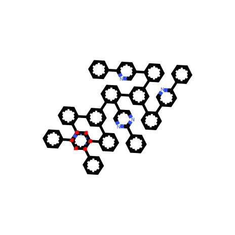 c1ccc(-c2ccc(-c3ccccc3-c3cc(-c4ccccc4-c4ccc(-c5ccccc5)nc4)cc(-c4cccc(-c5cc(-c6ccccc6-c6ccc(-c7ccccc7)nc6)cc(-c6ccccc6-c6ccc(-c7ccccc7)nc6)c5)c4-c4cnc(-c5ccccc5)nc4)c3)cn2)cc1